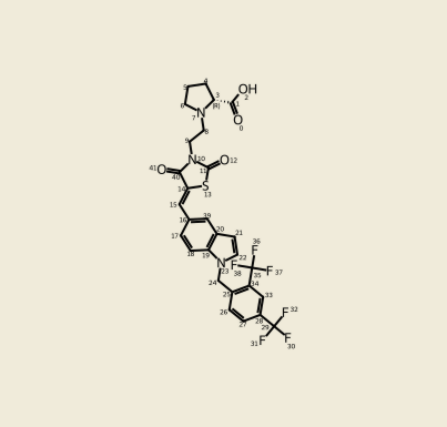 O=C(O)[C@H]1CCCN1CCN1C(=O)SC(=Cc2ccc3c(ccn3Cc3ccc(C(F)(F)F)cc3C(F)(F)F)c2)C1=O